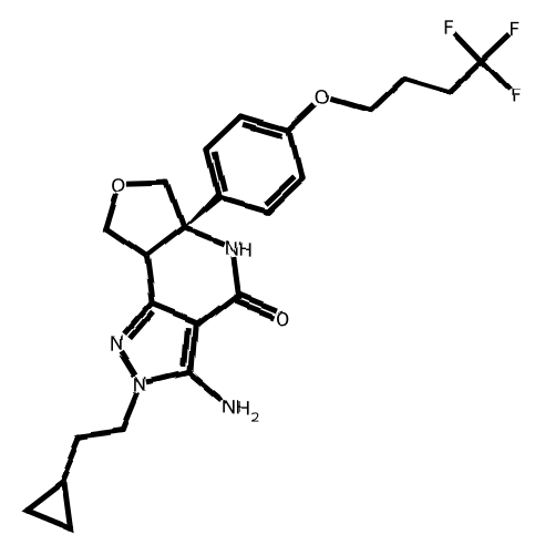 Nc1c2c(nn1CCC1CC1)C1COC[C@]1(c1ccc(OCCCC(F)(F)F)cc1)NC2=O